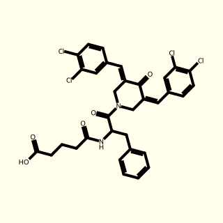 O=C(O)CCCC(=O)NC(Cc1ccccc1)C(=O)N1CC(=Cc2ccc(Cl)c(Cl)c2)C(=O)C(=Cc2ccc(Cl)c(Cl)c2)C1